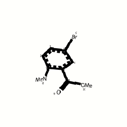 CNc1ccc(Br)cc1C(=O)OC